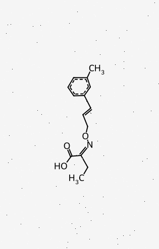 CC/C(=N/OC/C=C/c1cccc(C)c1)C(=O)O